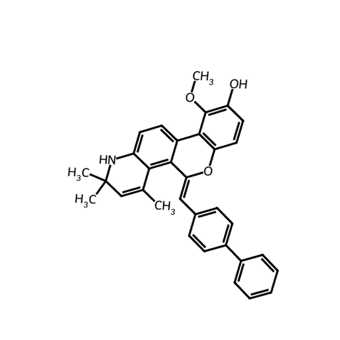 COc1c(O)ccc2c1-c1ccc3c(c1/C(=C/c1ccc(-c4ccccc4)cc1)O2)C(C)=CC(C)(C)N3